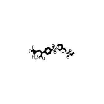 C=CS(=O)(=O)NCC1CCN(S(=O)(=O)c2ccc(C(CC3CC3(F)F)C(N)=O)cc2)C1